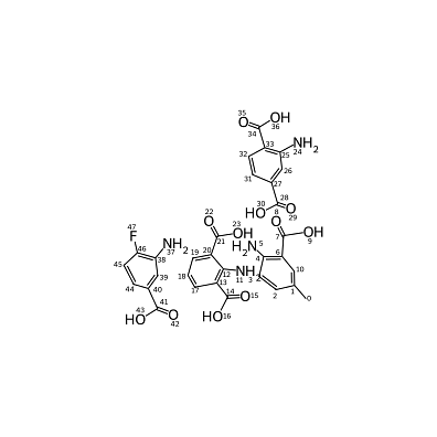 Cc1ccc(N)c(C(=O)O)c1.Nc1c(C(=O)O)cccc1C(=O)O.Nc1cc(C(=O)O)ccc1C(=O)O.Nc1cc(C(=O)O)ccc1F